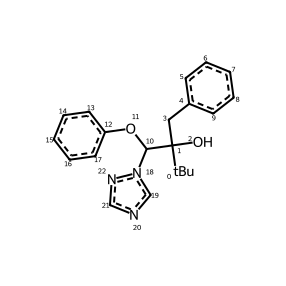 CC(C)(C)C(O)(Cc1ccccc1)C(Oc1ccccc1)n1cncn1